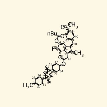 CCCCC(=O)Oc1cc2c(cc1F)C(CC(=O)Oc1ccc(P3(=S)SP(=S)(c4ccc(C)cc4)S3)cc1)=C(C)/C2=C/c1ccc([S+](C)[O-])cc1